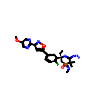 CC[C@@]1(c2cc(-c3cc(-c4ncc(OC)cn4)no3)ccc2F)CS(=O)(=NC)C(C)(C)C(N)=N1